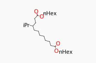 CCCCCCOC(=O)CCCCCCCC(CCC(=O)OCCCCCC)C(C)C